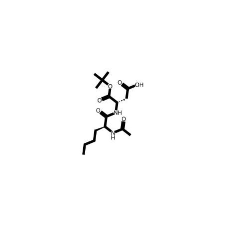 CCCC[C@H](NC(C)=O)C(=O)N[C@@H](CC(=O)O)C(=O)OC(C)(C)C